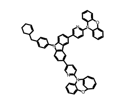 C1=CC2=CC(C=C1)Oc1ccccc1N2c1ccc(-c2ccc3c(c2)c2cc(-c4ccc(N5c6ccccc6Oc6ccccc65)nc4)ccc2n3-c2ccc(CC3C=CCCC3)cc2)cn1